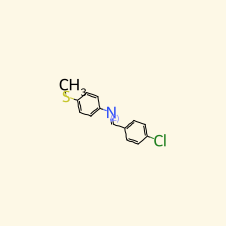 CSc1ccc(/N=C/c2ccc(Cl)cc2)cc1